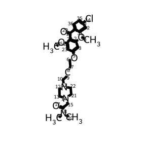 COc1cc(OCCCCCN2CCN(CC(=O)N(C)C)CC2)cc(OC)c1C(=O)c1ccc(Cl)cc1